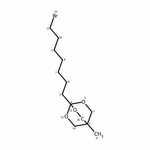 CC12COC(CCCCCCCBr)(OC1)OC2